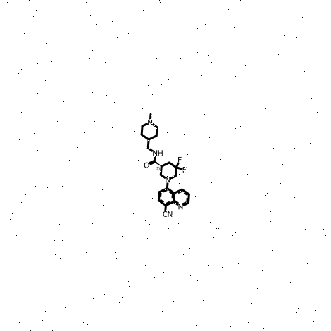 CN1CCC(CNC(=O)[C@@H]2CN(c3ccc(C#N)c4ncccc34)CC(F)(F)C2)CC1